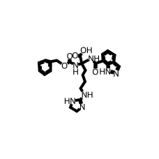 O=C(NC(CCCCNC1=NCCN1)(NC(=O)c1cccc2cn[nH]c12)C(=O)O)OCc1ccccc1